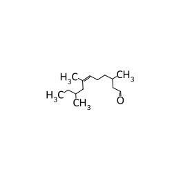 CCC(C)C/C(C)=C\CCC(C)CC=O